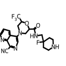 N#Cc1ncc(N2CC(C(=O)NCC3(F)CCNCC3)OC(C(F)(F)F)C2)c2cccnc12